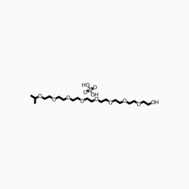 CC(C)OCCOCCOCCOCCOCCOCCOCCOCCO.O=S(=O)(O)O